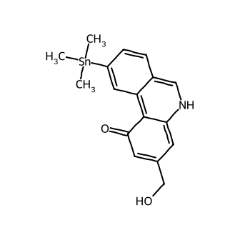 [CH3][Sn]([CH3])([CH3])[c]1ccc2c[nH]c3cc(CO)cc(=O)c-3c2c1